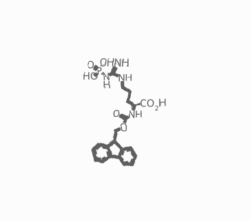 N=C(NCCC[C@H](NC(=O)OCC1c2ccccc2-c2ccccc21)C(=O)O)NP(=O)(O)O